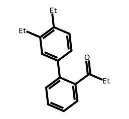 CCC(=O)c1ccccc1-c1ccc(CC)c(CC)c1